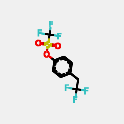 O=S(=O)(Oc1ccc(CC(F)(F)F)cc1)C(F)(F)F